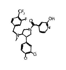 CN(Cc1ccc(C(F)(F)F)c(F)c1)C1CN(C(=O)c2ccnc(O)c2)CC1c1ccc(Cl)c(Cl)c1